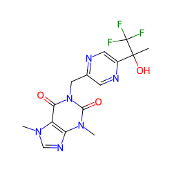 Cn1cnc2c1c(=O)n(Cc1cnc(C(C)(O)C(F)(F)F)cn1)c(=O)n2C